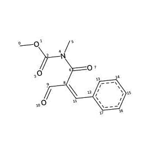 COC(=O)N(C)C(=O)C([C]=O)=Cc1ccccc1